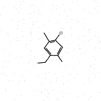 [CH2]Cc1cc(C)c(Cl)cc1C